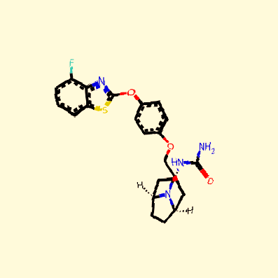 NC(=O)N[C@@H]1C[C@H]2CC[C@@H](C1)N2CCOc1ccc(Oc2nc3c(F)cccc3s2)cc1